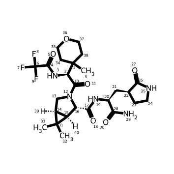 CC1([C@H](NC(=O)C(F)(F)F)C(=O)N2C[C@H]3[C@@H]([C@H]2C(=O)N[C@@H](C[C@@H]2CCNC2=O)C(N)=O)C3(C)C)CCOCC1